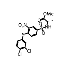 COC(=O)[C@H](C)NS(=O)(=O)c1ccc(Sc2ccc(Cl)c(Cl)c2)c([N+](=O)[O-])c1